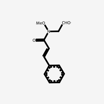 CON(C[C]=O)C(=O)C=Cc1ccccc1